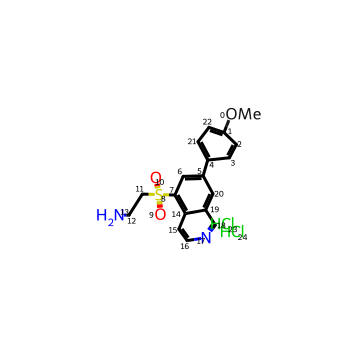 COc1ccc(-c2cc(S(=O)(=O)CCN)c3ccncc3c2)cc1.Cl.Cl